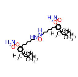 CC(C)(C)CC(C)(C)c1ccc(OC(N)=O)c(CCCCCCNC(=O)NCCCCCCc2cc(C(C)(C)CC(C)(C)C)ccc2OC(N)=O)c1